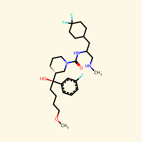 CNCC(CC1CCC(F)(F)CC1)NC(=O)N1CCC[C@@H]([C@@](O)(CCCCOC)c2cccc(F)c2)C1